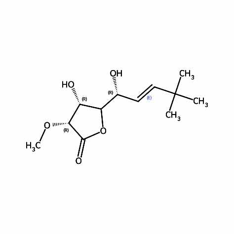 CO[C@H]1C(=O)OC([C@H](O)/C=C/C(C)(C)C)[C@H]1O